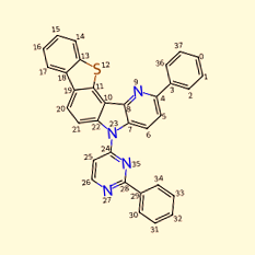 c1ccc(-c2ccc3c(n2)c2c4sc5ccccc5c4ccc2n3-c2ccnc(-c3ccccc3)n2)cc1